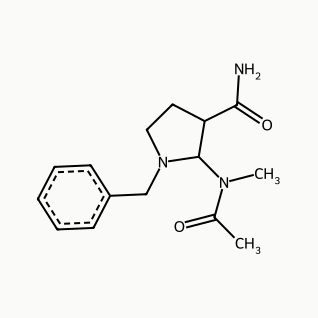 CC(=O)N(C)C1C(C(N)=O)CCN1Cc1ccccc1